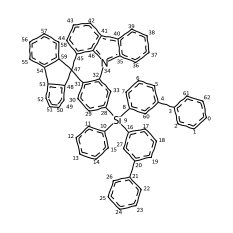 c1ccc(-c2cccc([Si](c3ccccc3)(c3cccc(-c4ccccc4)c3)c3ccc4c(c3)-n3c5ccccc5c5cccc(c53)C43c4ccccc4-c4ccccc43)c2)cc1